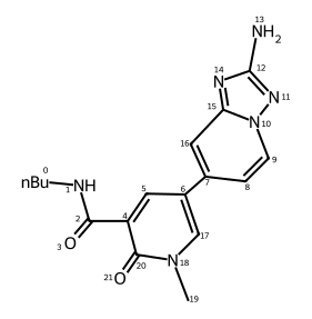 CCCCNC(=O)c1cc(-c2ccn3nc(N)nc3c2)cn(C)c1=O